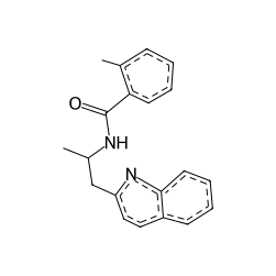 Cc1ccccc1C(=O)NC(C)Cc1ccc2ccccc2n1